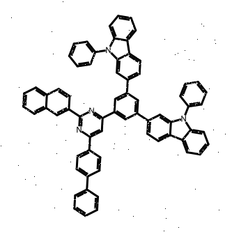 c1ccc(-c2ccc(-c3cc(-c4cc(-c5ccc6c7ccccc7n(-c7ccccc7)c6c5)cc(-c5ccc6c7ccccc7n(-c7ccccc7)c6c5)c4)nc(-c4ccc5ccccc5c4)n3)cc2)cc1